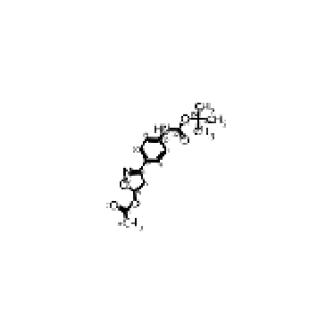 CC(=O)OC1CC(c2ccc(NC(=O)OC(C)(C)C)cc2)=NO1